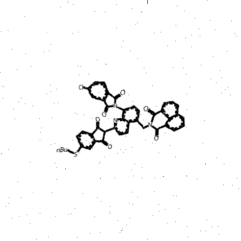 CCCCSc1ccc2c(c1)C(=O)C(c1ccc3c(CN4C(=O)c5cccc6cccc(c56)C4=O)ccc(N4C(=O)c5ccc(Cl)cc5C4=O)c3n1)C2=O